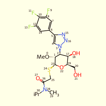 CO[C@@H]1[C@@H](n2cc(-c3cc(F)c(F)c(F)c3)nn2)[C@@H](O)[C@@H](CO)O[C@H]1SCC(=O)N(C)C(C)C